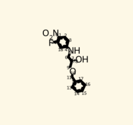 O=[N+]([O-])c1ccc(NC[C@@H](O)COCc2ccccc2)cc1F